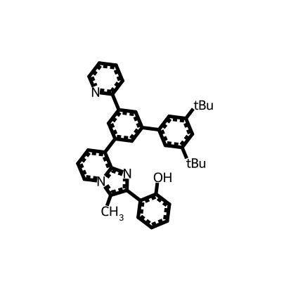 Cc1c(-c2ccccc2O)nc2c(-c3cc(-c4cc(C(C)(C)C)cc(C(C)(C)C)c4)cc(-c4ccccn4)c3)cccn12